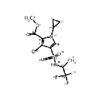 COC(=O)c1c(Cl)c(S(=O)(=O)NC(C)C(F)(F)F)cn1C1CC1